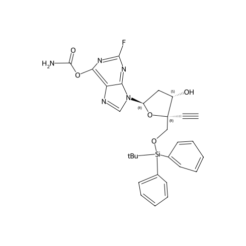 C#C[C@]1(CO[Si](c2ccccc2)(c2ccccc2)C(C)(C)C)O[C@@H](n2cnc3c(OC(N)=O)nc(F)nc32)C[C@@H]1O